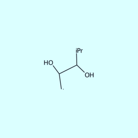 [CH2]C(O)C(O)C(C)C